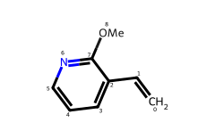 C=Cc1cccnc1OC